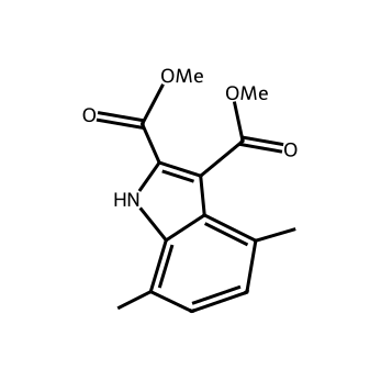 COC(=O)c1[nH]c2c(C)ccc(C)c2c1C(=O)OC